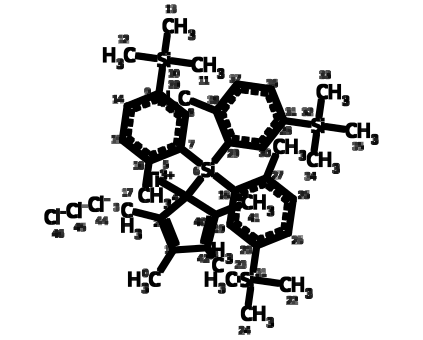 CC1=C(C)[C]([Ti+3])([Si](c2cc([Si](C)(C)C)ccc2C)(c2cc([Si](C)(C)C)ccc2C)c2cc([Si](C)(C)C)ccc2C)C(C)=C1C.[Cl-].[Cl-].[Cl-]